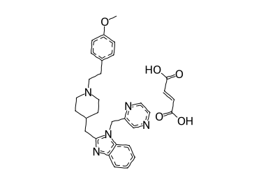 COc1ccc(CCN2CCC(Cc3nc4ccccc4n3Cc3cnccn3)CC2)cc1.O=C(O)C=CC(=O)O